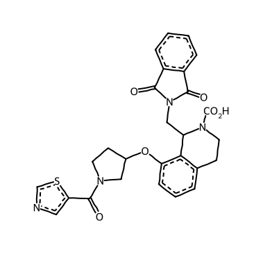 O=C(c1cncs1)N1CCC(Oc2cccc3c2C(CN2C(=O)c4ccccc4C2=O)N(C(=O)O)CC3)C1